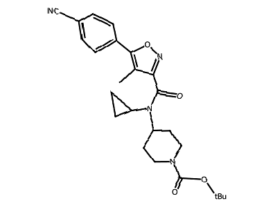 Cc1c(C(=O)N(C2CC2)C2CCN(C(=O)OC(C)(C)C)CC2)noc1-c1ccc(C#N)cc1